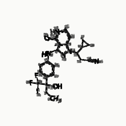 CCC(O)(c1ccc(Nc2nn(C(CC#N)C3CC3)c3cc[nH]c(=O)c23)cc1)C(F)(F)F